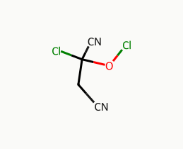 N#CCC(Cl)(C#N)OCl